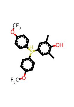 Cc1cc([SH](c2ccc(OC(F)(F)F)cc2)c2ccc(OC(F)(F)F)cc2)cc(C)c1O